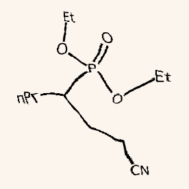 CCCC(CCC#N)P(=O)(OCC)OCC